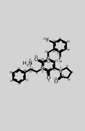 N[C@H](Cn1c(=O)c(N2CCCC2=O)cn(Cc2c(F)cccc2F)c1=O)c1ccccc1